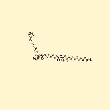 NCCCCCCCCCCCC(N)OC(=O)CCCCCCCC(=O)OC(N)CCCCCCCCCCCN